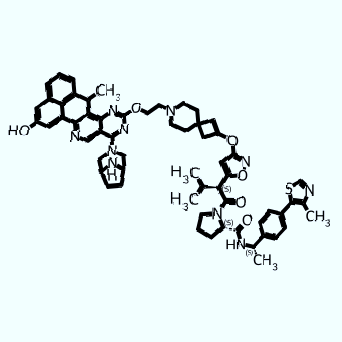 Cc1ncsc1-c1ccc([C@H](C)NC(=O)[C@@H]2CCCN2C(=O)[C@H](c2cc(OC3CC4(CCN(CCOc5nc(N6CC7CCC(C6)N7)c6cnc7c(c6n5)C(C)c5cccc6cc(O)cc-7c56)CC4)C3)no2)C(C)C)cc1